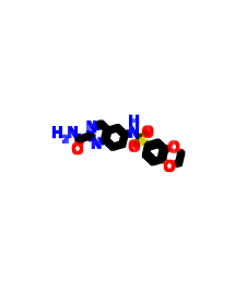 NC(=O)c1ncc2c(n1)CCC(NS(=O)(=O)c1ccc3c(c1)OCCO3)C2